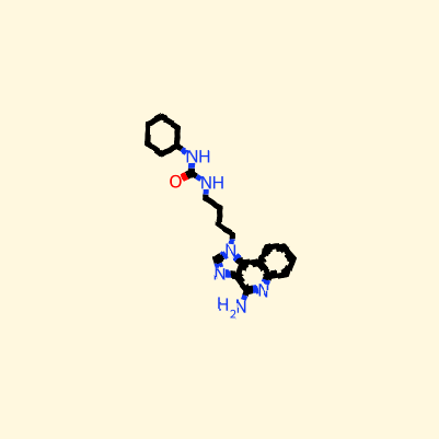 Nc1nc2ccccc2c2c1ncn2CCCCNC(=O)NC1CCCCC1